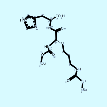 CC(C)(C)OC(=O)NCCCC[C@H](NC(=O)OC(C)(C)C)C(=O)N[C@@H](Cc1c[nH]cn1)C(=O)O